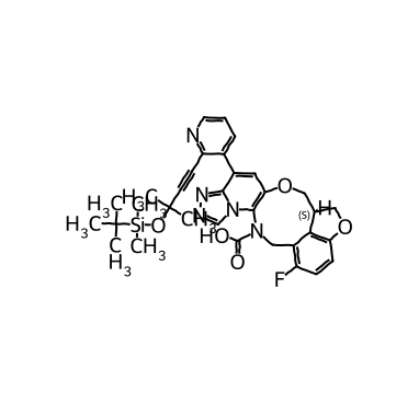 CC(C)(C#Cc1ncccc1-c1cc2c(n3cnnc13)N(C(=O)O)Cc1c(F)ccc3c1[C@@H](CO3)CO2)O[Si](C)(C)C(C)(C)C